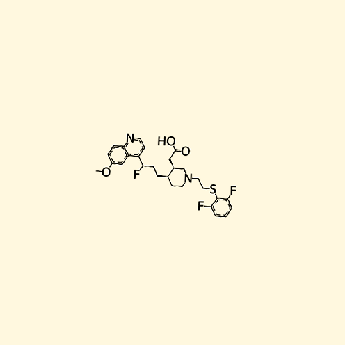 COc1ccc2nccc(C(F)CC[C@@H]3CCN(CCSc4c(F)cccc4F)C[C@@H]3CC(=O)O)c2c1